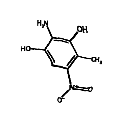 Cc1c([N+](=O)[O-])cc(O)c(N)c1O